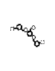 O=Cc1cc(OCc2cccc(Cl)c2)ccc1OCc1cccc(Cl)c1